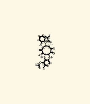 COc1c(N[C@H]2CC(=O)C(=O)[C@H](Cc3ccccc3)[C@H](OC(=O)C(C)C)[C@H](C)C(=O)C2=O)cnc(C)c1OC(C)=O